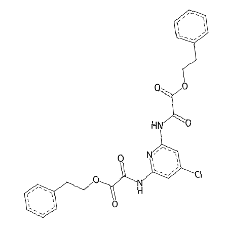 O=C(Nc1cc(Cl)cc(NC(=O)C(=O)OCCc2ccccc2)n1)C(=O)OCCc1ccccc1